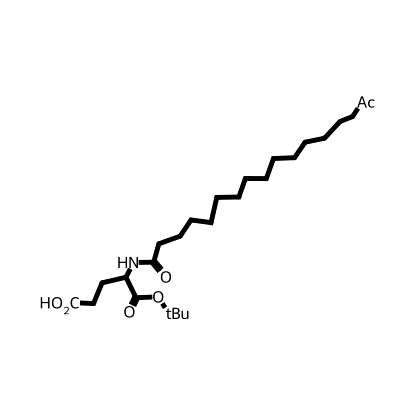 CC(=O)CCCCCCCCCCCCCCC(=O)NC(CCC(=O)O)C(=O)OC(C)(C)C